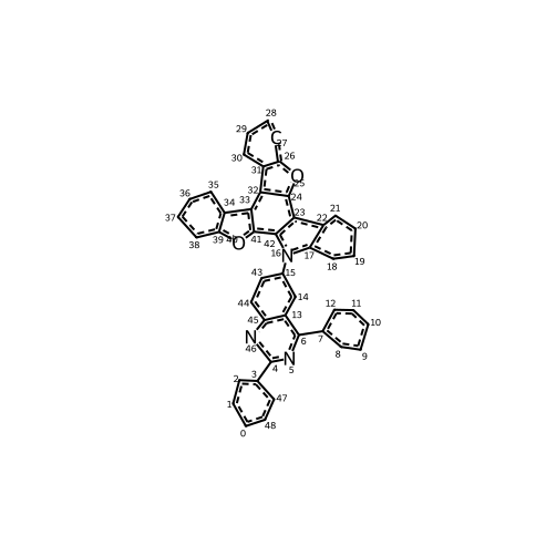 c1ccc(-c2nc(-c3ccccc3)c3cc(-n4c5ccccc5c5c6oc7ccccc7c6c6c7ccccc7oc6c54)ccc3n2)cc1